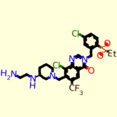 CCS(=O)(=O)c1ccc(Cl)cc1Cn1cnc2c(Cl)c(CN3CCC[C@H](NCCN)C3)c(C(F)(F)F)cc2c1=O